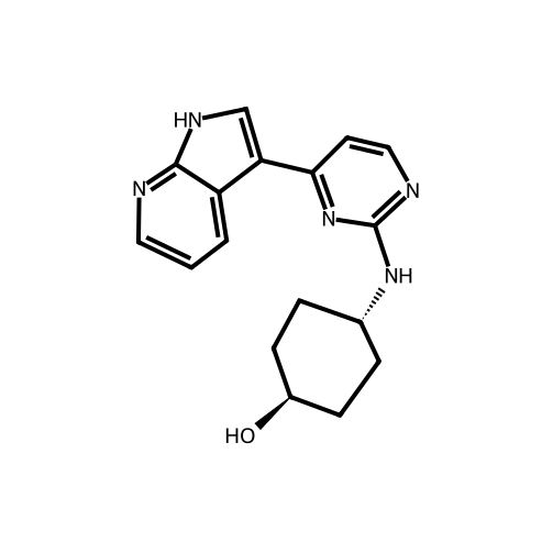 O[C@H]1CC[C@H](Nc2nccc(-c3c[nH]c4ncccc34)n2)CC1